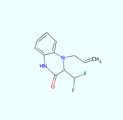 C=CCN1c2ccccc2NC(=O)C1C(F)F